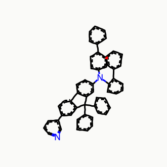 c1ccc(-c2ccc(N(c3ccc4c(c3)C(c3ccccc3)(c3ccccc3)c3cc(-c5cccnc5)ccc3-4)c3ccccc3-c3ccccc3)cc2)cc1